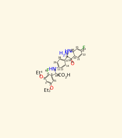 CCOc1cc(OCC)c(F)c(C(Nc2ccc(C(N)C(=O)C3C=CC(F)=CC3=N)cc2)C(=O)O)c1